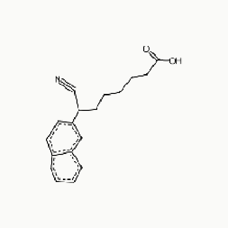 N#CC(CCCCCC(=O)O)c1ccc2ccccc2c1